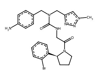 Cn1cc(CN(Cc2ccc(N)cc2)C(=O)NCC(=O)N2CCC[C@H]2c2ccccc2Br)nn1